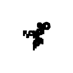 O=C(c1cc2c(cn1)c(-c1cnc3cc(F)ccn13)nn2CC(F)(F)F)N1CCCCCC1